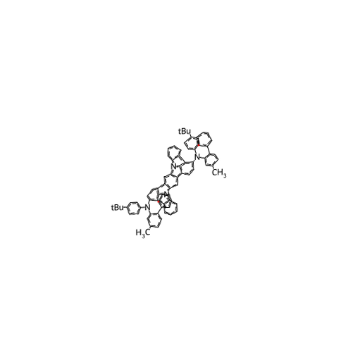 Cc1ccc(-c2ccccc2)c(N(c2ccc(C(C)(C)C)cc2)c2ccc3c4cc5c(cc4n4c6ccccc6c2c34)c2ccc(N(c3ccc(C(C)(C)C)cc3)c3cc(C)ccc3-c3ccccc3)c3c4ccccc4n5c23)c1